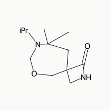 CC(C)N1COCC2(CNC2=O)CC1(C)C